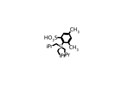 Cc1cc(C)c([Si](CC(C)C)(CC(C)C)CC(C)C)c(S(=O)(=O)O)c1